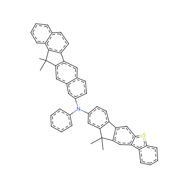 CC1(C)c2cc(N(c3ccccc3)c3ccc4cc5c(cc4c3)C(C)(C)c3c-5ccc4ccccc34)ccc2-c2cc3sc4ccccc4c3cc21